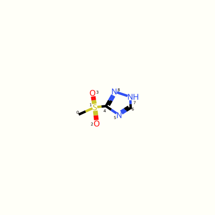 CS(=O)(=O)c1nc[nH]n1